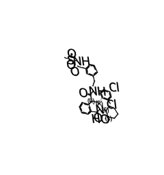 CS(=O)(=O)NC(=O)c1cccc(CCNC(=O)[C@@H]2c3ccccc3C(=O)N([C@H]3CCCC[C@@H]3O)[C@H]2c2ccc(Cl)cc2Cl)c1